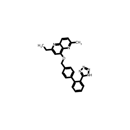 CCc1cc(OCc2ccc(-c3ccccc3-c3nnn[nH]3)cc2)c2nc(C)ccc2n1